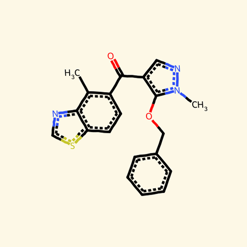 Cc1c(C(=O)c2cnn(C)c2OCc2ccccc2)ccc2scnc12